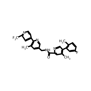 Cc1cc(C(=O)NCc2cnc(-c3ccnc(C(F)(F)F)c3)c(C)c2)ncc1-c1cc(F)ccc1C